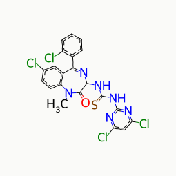 CN1C(=O)C(NC(=S)Nc2nc(Cl)cc(Cl)n2)N=C(c2ccccc2Cl)c2cc(Cl)ccc21